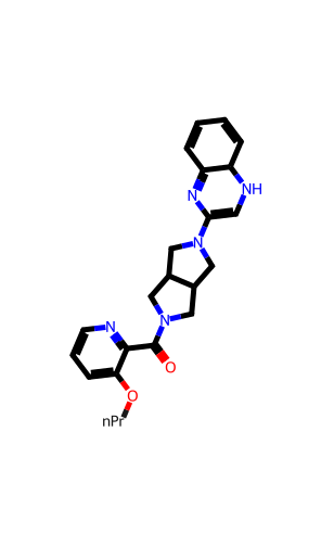 CCCOc1cccnc1C(=O)N1CC2CN(C3=CNC4C=CC=CC4=N3)CC2C1